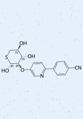 N#Cc1ccc(-c2ccc(O[C@@H]3[C@@H](O)[C@H](O)CS[C@H]3O)cn2)cc1